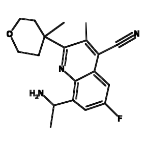 Cc1c(C2(C)CCOCC2)nc2c(C(C)N)cc(F)cc2c1C#N